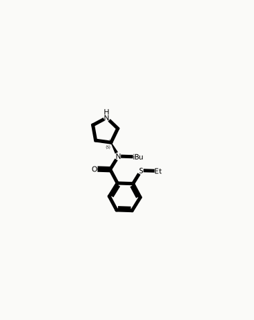 CCSc1ccccc1C(=O)N(C(C)CC)[C@H]1CCNC1